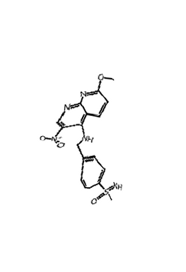 COc1ccc2c(NCc3ccc(S(C)(=N)=O)cc3)c([N+](=O)[O-])cnc2n1